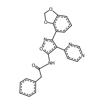 O=C(Cc1ccccc1)Nc1onc(-c2cccc3c2OCO3)c1-c1ccncn1